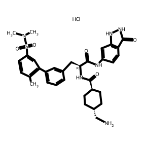 Cc1ccc(S(=O)(=O)N(C)C)cc1-c1cccc(C[C@H](NC(=O)[C@H]2CC[C@H](CN)CC2)C(=O)Nc2ccc3c(=O)[nH][nH]c3c2)c1.Cl